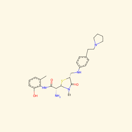 CCN1C(=O)[C@@H](CNc2ccc(CCN3CCCC3)cc2)SC1[C@H](N)C(=O)Nc1c(C)cccc1O